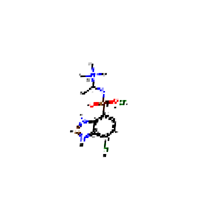 CC(NS(=O)(=O)c1ccc(Cl)c2nsnc12)[N+](C)(C)C.[Cl-]